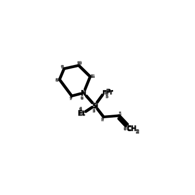 C=CC[Si](CC)(CCC)N1CCCCC1